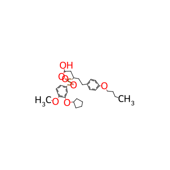 CCCCOc1ccc(CCC(CC(=O)O)S(=O)(=O)c2ccc(OC)c(OC3CCCC3)c2)cc1